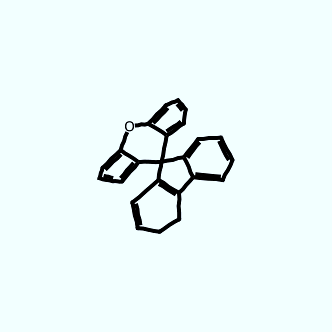 C1=CC2=C(CC1)c1ccccc1C21c2ccccc2Oc2ccccc21